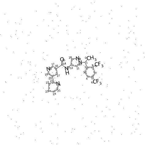 CC(c1ccc(C(F)(F)F)cc1C(F)(F)F)n1cc(NC(=O)c2cncc(-c3ccccn3)c2)cn1